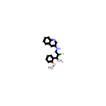 COc1ccccc1C(C)C(F)CNc1cnc2ccccc2c1